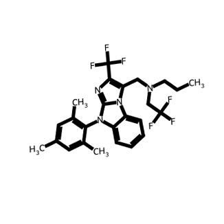 CCCN(Cc1c(C(F)(F)F)nc2n(-c3c(C)cc(C)cc3C)c3ccccc3n12)CC(F)(F)F